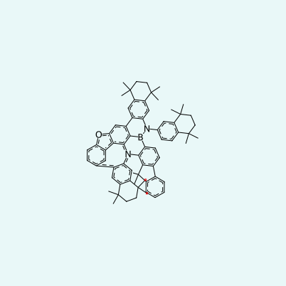 CC1(C)CCC(C)(C)c2cc(N3B4c5ccc6c(c5-n5c7cc8c(cc7c7ccc9oc%10cc(c4c5c%10c9c7)-c4cc5c(cc43)C(C)(C)CCC5(C)C)C(C)(C)CCC8(C)C)C(C)(C)c3ccccc3-6)ccc21